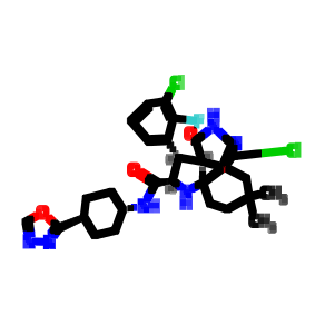 CC1(C)CCC2(CC1)N[C@@H](C(=O)N[C@H]1CC[C@H](c3nnco3)CC1)[C@H](c1cccc(Cl)c1F)[C@]21C(=O)Nc2nc(Cl)ccc21